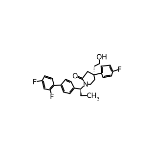 CC[C@@H](c1ccc(-c2ccc(F)cc2F)cc1)N1CC[C@](CCO)(c2ccc(F)cc2)CC1=O